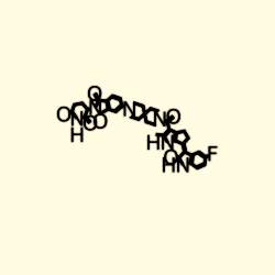 Cc1[nH]c2c(c1C(=O)N1CCC3(CC1)CCN(c1ccc4c(c1)C(=O)N(C1CCC(=O)NC1=O)C4=O)CC3)CCC2=C1C(=O)Nc2ccc(F)cc21